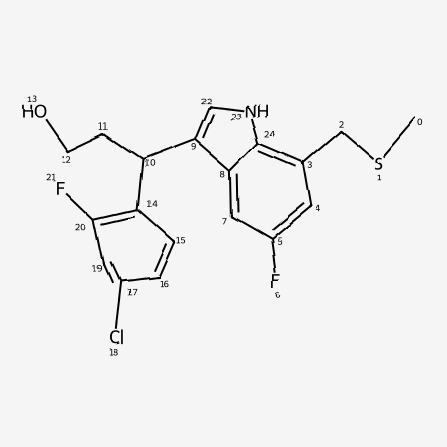 CSCc1cc(F)cc2c(C(CCO)c3ccc(Cl)cc3F)c[nH]c12